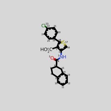 O=C(O)c1c(NC(=O)C2CCc3ccccc3C2)csc1-c1ccc(Cl)cc1